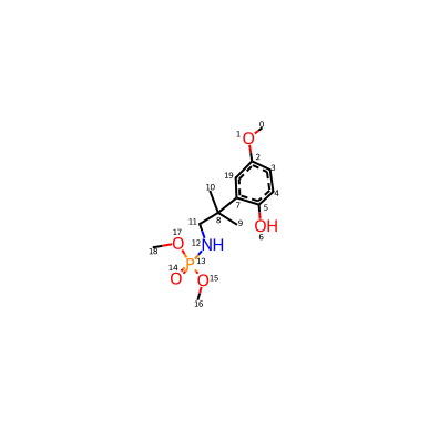 COc1ccc(O)c(C(C)(C)CNP(=O)(OC)OC)c1